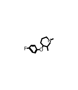 CC1CN(C)CCCC1Oc1ccc(F)cc1